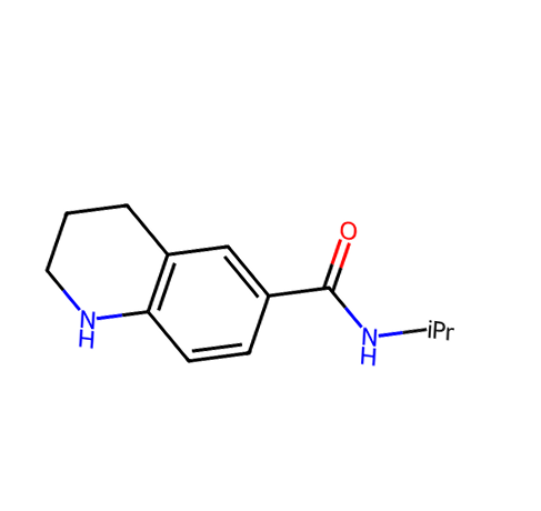 CC(C)NC(=O)c1ccc2c(c1)CCCN2